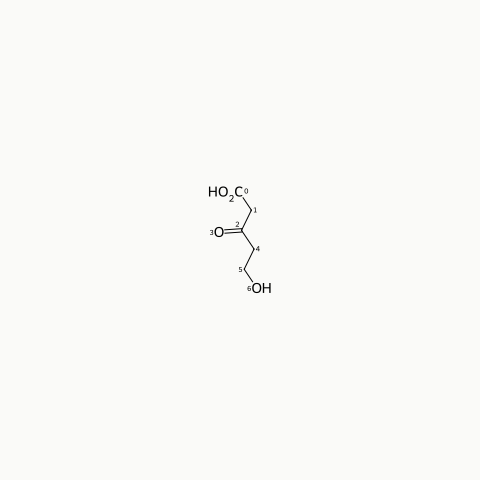 O=C(O)CC(=O)CCO